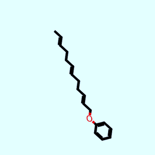 C/C=C/CC/C=C/CC/C=C/COc1ccccc1